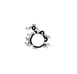 CO[C@H]1C[C@@H]2CC[C@@H](C)[C@@](O)(O2)C(=O)C(=O)N2CCCCC2C(=O)O[C@H]([C@H](C)C[C@@H]2CC[C@@H](O)[C@H](OC)C2)CC(=O)C(C)/C=C(\C)C(O)[C@@H](OC)C(=O)[C@H](C)C[C@H](C)/C=C/C=C/C=C/1C